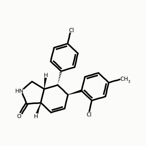 Cc1ccc([C@H]2C=C[C@@H]3C(=O)NC[C@@H]3[C@@H]2c2ccc(Cl)cc2)c(Cl)c1